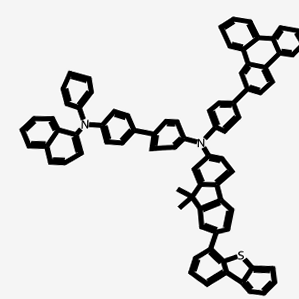 CC1(C)c2cc(-c3cccc4c3sc3ccccc34)ccc2-c2ccc(N(c3ccc(-c4ccc(N(c5ccccc5)c5cccc6ccccc56)cc4)cc3)c3ccc(-c4ccc5c6ccccc6c6ccccc6c5c4)cc3)cc21